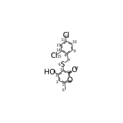 Cc1cc(O)c(SCc2ccc(Cl)cc2Cl)c(=O)o1